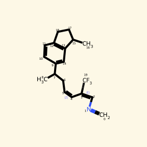 C=N/C=C(\C=C/CC(C)c1ccc2c(c1)C(C)CC2)C(F)(F)F